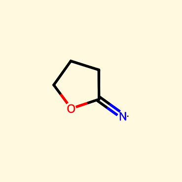 [N]=C1CCCO1